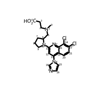 CN(CCC(=O)O)CC1CCCN1c1cc(-n2ccnc2)c2ccc(Cl)c(Cl)c2n1